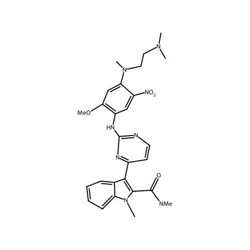 CNC(=O)c1c(-c2ccnc(Nc3cc([N+](=O)[O-])c(N(C)CCN(C)C)cc3OC)n2)c2ccccc2n1C